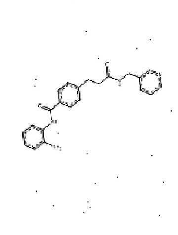 Nc1ccccc1NC(=O)c1ccc(CCC(=O)NCc2cccnc2)cc1